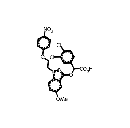 COc1ccc2c(c1)c(OC(C(=O)O)c1ccc(Cl)c(Cl)c1)nn2CCOc1ccc([N+](=O)[O-])cc1